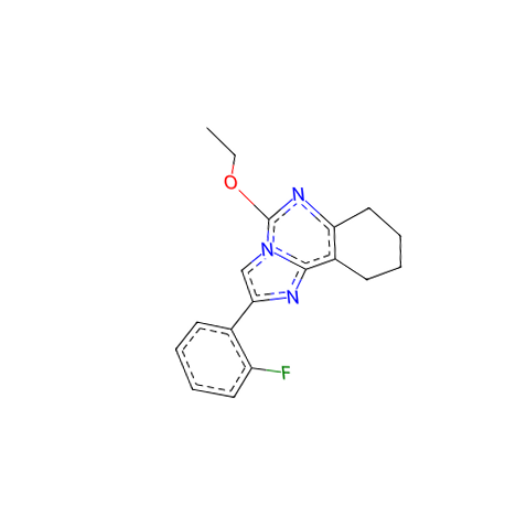 CCOc1nc2c(c3nc(-c4ccccc4F)cn13)CCCC2